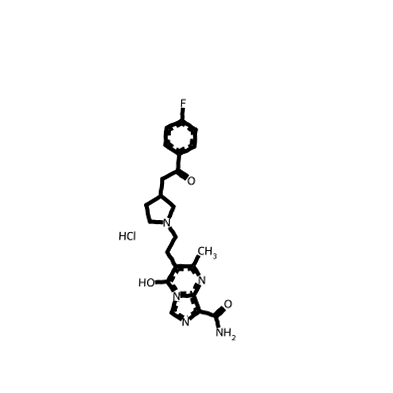 Cc1nc2c(C(N)=O)ncn2c(O)c1CCN1CCC(CC(=O)c2ccc(F)cc2)C1.Cl